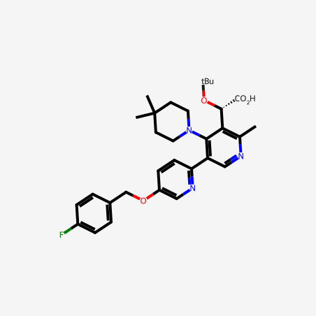 Cc1ncc(-c2ccc(OCc3ccc(F)cc3)cn2)c(N2CCC(C)(C)CC2)c1[C@H](OC(C)(C)C)C(=O)O